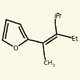 CC/C(=C(\C)c1ccco1)C(C)C